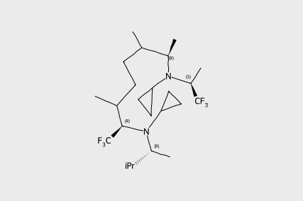 CC(CCC(C)[C@@H](N(C1CC1)[C@H](C)C(C)C)C(F)(F)F)[C@@H](C)N(C1CC1)[C@@H](C)C(F)(F)F